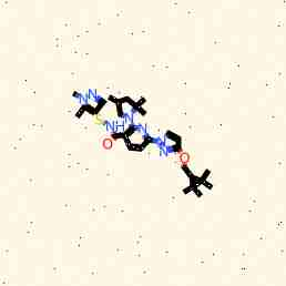 Cc1c(SNC(=O)c2ccc(-n3ccc(OCC4C(C)(C)C4(C)C)n3)nc2N2CC(C)CC2(C)C)cnn1C